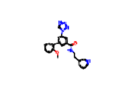 COc1ccccc1-c1cc(C(=O)NCCc2cccnc2)cc(-n2cnnn2)c1